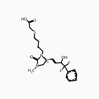 CN1C[C@H](C=CC(O)C(F)(F)c2ccccc2)N(CCCCSCC(=O)O)C1=O